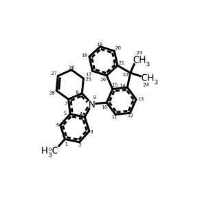 Cc1ccc2c(c1)c1c(n2-c2cccc3c2-c2ccccc2C3(C)C)CCC=C1